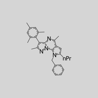 CCCc1cc2c(C)nc3c(-c4c(C)cc(C)cc4C)c(C)nn3c2n1Cc1ccccc1